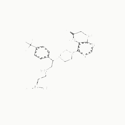 CN(C)CCNCC(c1ccc(C(F)(F)F)cc1)N1CCN(c2ncnc3c2NC(=O)CN3)CC1